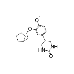 COc1ccc(C2CNC(=O)NC2)cc1O[C@H]1CC2CCC1C2